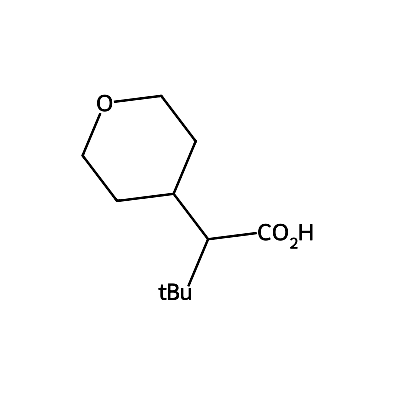 CC(C)(C)C(C(=O)O)C1CCOCC1